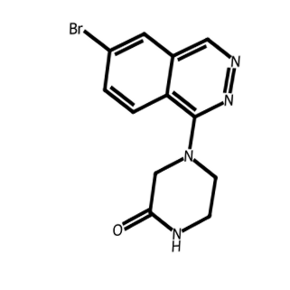 O=C1CN(c2nncc3cc(Br)ccc23)CCN1